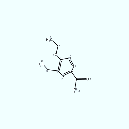 CCOc1ncc(C(N)=O)nc1CC